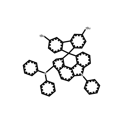 CC(C)(C)c1ccc2c(c1)-c1cc(C(C)(C)C)ccc1C21c2ccc(N(c3ccccc3)c3ccccc3)c3ccc4c(c23)c2c1cccc2n4-c1ccccc1